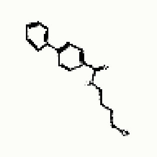 O=C(NCCCCO)c1ccc(-c2ccccc2)cc1